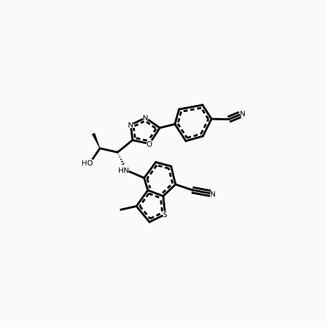 Cc1csc2c(C#N)ccc(N[C@@H](c3nnc(-c4ccc(C#N)cc4)o3)[C@H](C)O)c12